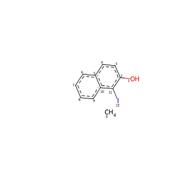 C.Oc1ccc2ccccc2c1I